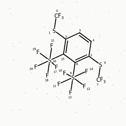 FC(F)(F)Sc1ccc(SC(F)(F)F)c(S(F)(F)(F)(F)F)c1S(F)(F)(F)(F)F